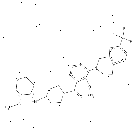 COc1c(C(=O)N2CCC(N[C@H]3CCOC[C@H]3OC)CC2)ncnc1N1CCc2ccc(C(F)(F)F)cc2C1